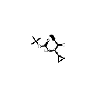 C#CC(=O)[C@H](NC(=O)OC(C)(C)C)C1CC1